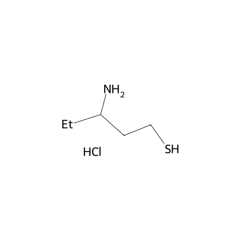 CCC(N)CCS.Cl